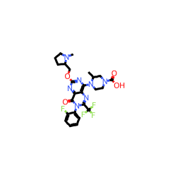 CC1CN(C(=O)O)CCN1c1nc(OCC2CCCN2C)nc2c(=O)n(-c3ccccc3F)c(C(F)(F)F)nc12